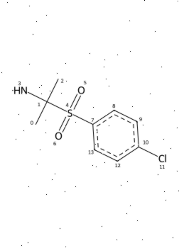 CC(C)([NH])S(=O)(=O)c1ccc(Cl)cc1